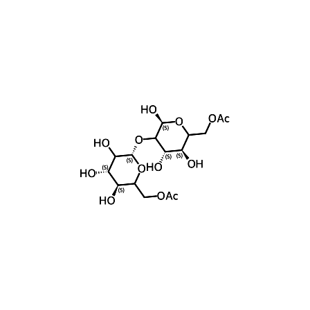 CC(=O)OCC1O[C@@H](OC2[C@@H](O)[C@H](O)C(COC(C)=O)O[C@@H]2O)C(O)[C@@H](O)[C@@H]1O